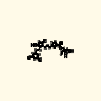 CCC(O)(CO)COC(=O)c1ccc(CCC[C@@H]2[C@@H](CCc3cc(Cl)cc(Cl)c3)[C@H](O)C[C@H]2Cl)s1